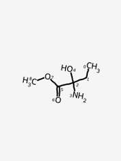 CCC(N)(O)C(=O)OC